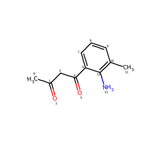 CC(=O)CC(=O)c1cccc(C)c1N